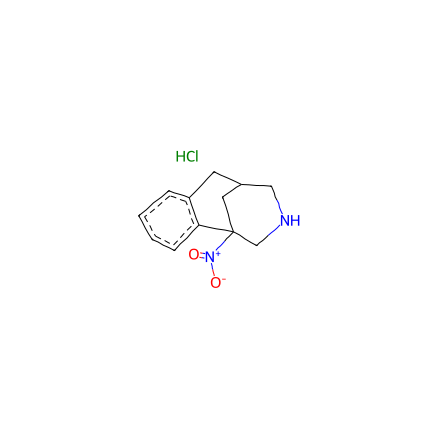 Cl.O=[N+]([O-])C12CNCC(Cc3ccccc31)C2